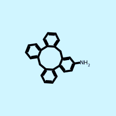 Nc1ccc2c(c1)Cc1ccccc1-c1ccccc1Cc1ccccc1-2